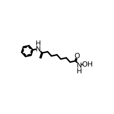 C=C(CCCCCCC(=O)NO)Nc1ccccc1